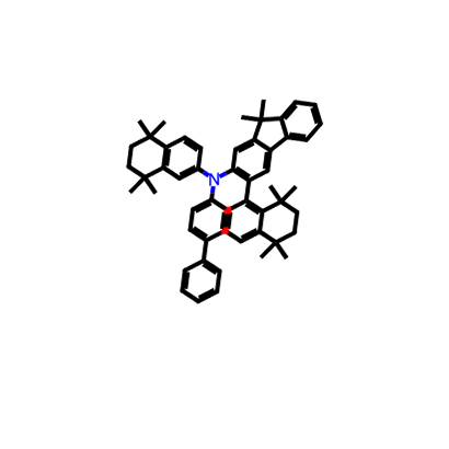 CC1(C)CCC(C)(C)c2cc(N(c3ccc(-c4ccccc4)cc3)c3cc4c(cc3-c3cccc5c3C(C)(C)CCC5(C)C)-c3ccccc3C4(C)C)ccc21